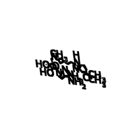 CN(C[C@H]1O[C@@H](n2ccc3c(N)ncnc32)[C@H](O)[C@@H]1O)[C@H]1C[C@H](CCc2nc3cc(C(C)(C)C)ccc3[nH]2)C1